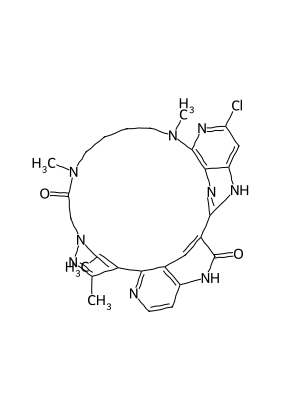 Cc1nn2c(C)c1-c1nccc3[nH]c(=O)c(cc13)-c1nc3c(nc(Cl)cc3[nH]1)N(C)CCCCN(C)C(=O)C2